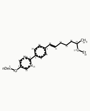 CCCCCCCCCCOc1cnc(-c2ccc(/C=C/CCCC(C)OCC)cc2)nc1